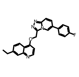 CCc1ccc2c(OCc3nnc4ccc(-c5ccc(F)cc5)cn34)ccnc2c1